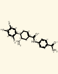 NC(=O)c1ccc(NC(=O)C2=CC[C@H](c3cc(F)c(F)cc3F)[C@@H](N)C2)cc1